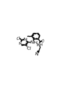 Cc1cccc(C(=O)NCC#N)c1Nc1nc(Cl)ncc1Cl